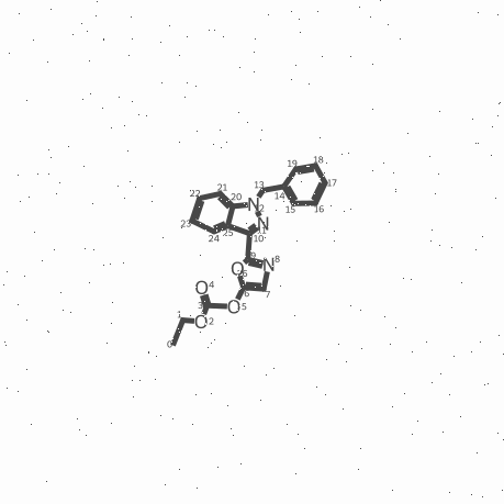 CCOC(=O)Oc1cnc(-c2nn(Cc3ccccc3)c3ccccc23)o1